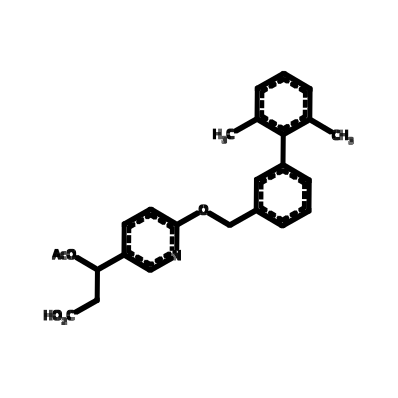 CC(=O)OC(CC(=O)O)c1ccc(OCc2cccc(-c3c(C)cccc3C)c2)nc1